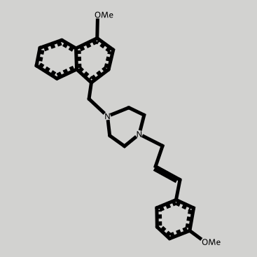 COc1cccc(/C=C/CN2CCN(Cc3ccc(OC)c4ccccc34)CC2)c1